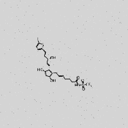 O=C(CCCC=CC[C@@H]1[C@@H](C=C[C@@H](O)CCc2ccc(I)s2)[C@H](O)C[C@@H]1O)NS(=O)(=O)C(F)(F)F